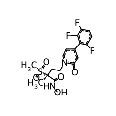 C[C@@](CCn1ccc(-c2c(F)ccc(F)c2F)cc1=O)(C(=O)NO)S(C)(=O)=O